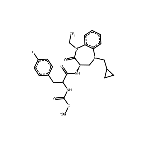 CC(C)(C)OC(=O)NC(Cc1ccc(F)cc1)C(=O)N[C@@H]1CN(CC2CC2)c2ccccc2N(CC(F)(F)F)C1=O